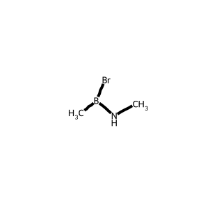 CNB(C)Br